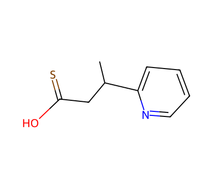 CC(CC(O)=S)c1ccccn1